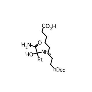 CCC(N)(O)C(N)=O.CCCCCCCCCCCCCCCCCC(=O)O